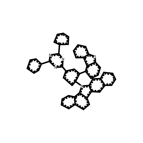 c1ccc(-c2nc(-c3ccccc3)nc(-c3ccc(-n4c5cc6ccccc6cc5c5ccc6ccccc6c54)c(-c4cccc5sc6ccccc6c45)c3)n2)cc1